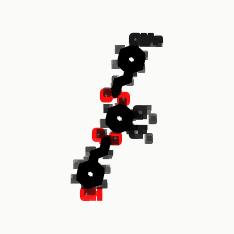 COc1ccc(CCC(=O)Oc2ccc(OC(=O)CCc3ccc(O)cc3)c(C(F)(F)F)c2C(F)(F)F)cc1